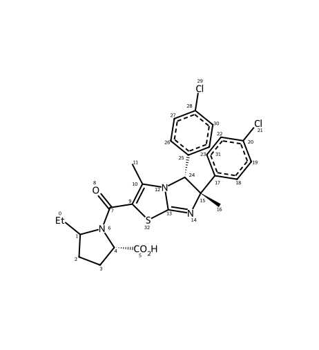 CCC1CC[C@@H](C(=O)O)N1C(=O)C1=C(C)N2C(=N[C@@](C)(c3ccc(Cl)cc3)[C@H]2c2ccc(Cl)cc2)S1